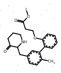 Cc1ccc(CC2NCCCC2=O)cc1-c1ccccc1OCCC(=O)OI